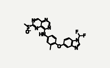 Cc1cc(Nc2ncnc3cnc([S+](C)[O-])nc23)ccc1Oc1ccc2c(c1)ncn2C(F)F